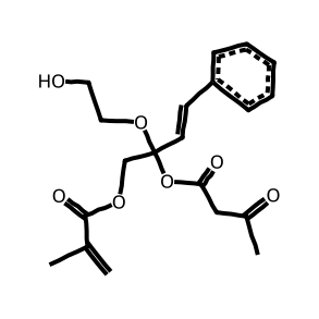 C=C(C)C(=O)OCC(C=Cc1ccccc1)(OCCO)OC(=O)CC(C)=O